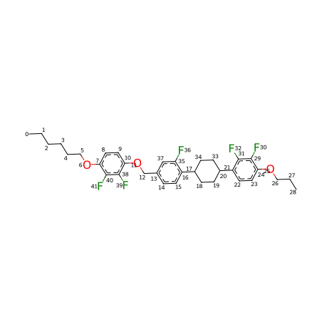 CCCCCCOc1ccc(OCc2ccc(C3CCC(c4ccc(OCCC)c(F)c4F)CC3)c(F)c2)c(F)c1F